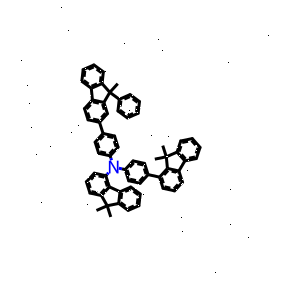 CC1(C)c2ccccc2-c2c(N(c3ccc(-c4ccc5c(c4)C(C)(c4ccccc4)c4ccccc4-5)cc3)c3ccc(-c4cccc5c4C(C)(C)c4ccccc4-5)cc3)cccc21